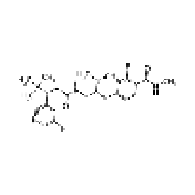 CNC(=O)c1ccc(C[C@@H](CNC(=O)C[C@@H](c2cncc(F)c2)C(C)(C)C)N(C)C)cc1F